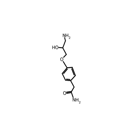 NCC(O)COc1ccc(CC(N)=O)cc1